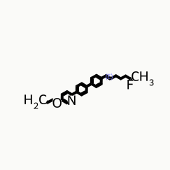 C=CCOc1ccc(-c2ccc(-c3ccc(/C=C/CCCC(C)F)cc3)cc2)nc1